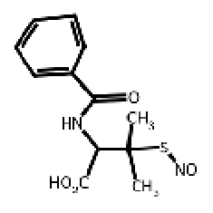 CC(C)(SN=O)C(NC(=O)c1ccccc1)C(=O)O